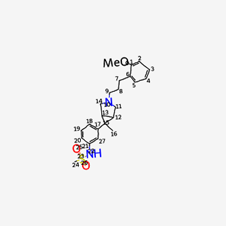 COc1ccccc1CCCN1CC2C(C1)C2(C)c1cccc(NS(C)(=O)=O)c1